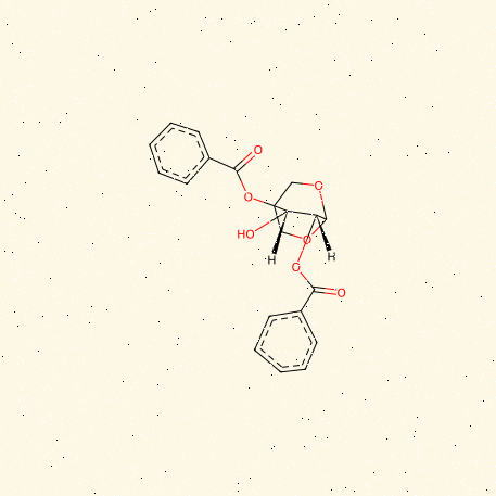 O=C(O[C@H]1C2OCC(OC(=O)c3ccccc3)(CO2)[C@H]1O)c1ccccc1